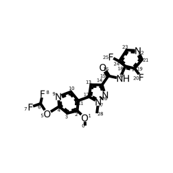 COc1cc(OC(F)F)ncc1-c1cc(C(=O)Nc2c(F)cncc2F)nn1C